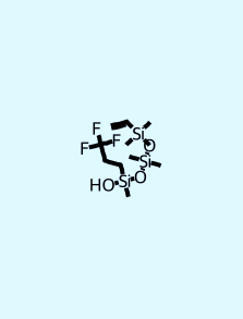 C=C[Si](C)(C)O[Si](C)(C)O[Si](C)(O)CCC(F)(F)F